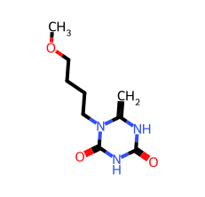 C=C1NC(=O)NC(=O)N1CCCCOC